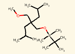 COCC(CO[Si](C)(C)C(C)(C)C)(CC(C)C)CC(C)C